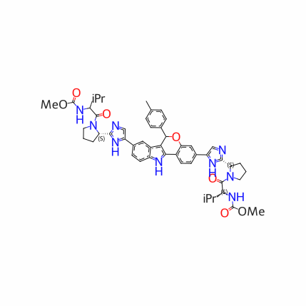 COC(=O)NC(C(=O)N1CCC[C@H]1c1ncc(-c2ccc3[nH]c4c(c3c2)C(c2ccc(C)cc2)Oc2cc(-c3cnc([C@@H]5CCCN5C(=O)[C@@H](NC(=O)OC)C(C)C)[nH]3)ccc2-4)[nH]1)C(C)C